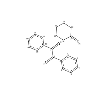 O=C(C(=O)c1ccccc1)c1ccccc1.O=C1CCCCC1